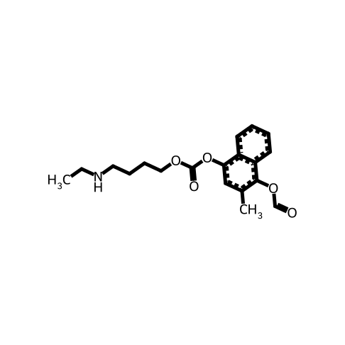 CCNCCCCOC(=O)Oc1cc(C)c(OC=O)c2ccccc12